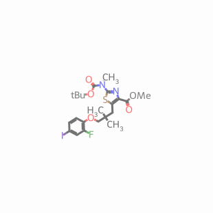 COC(=O)c1nc(N(C)C(=O)OC(C)(C)C)sc1CC(C)(C)COc1ccc(I)cc1F